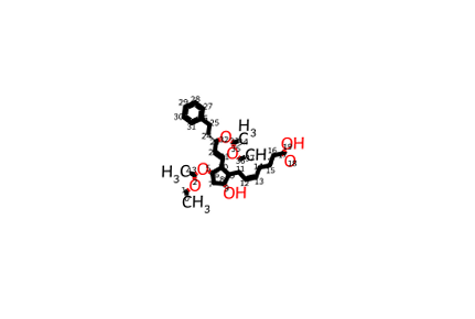 CCOC(C)OC1CC(O)C(C/C=C\CCCC(=O)O)C1/C=C/[C@H](CCc1ccccc1)OC(C)OCC